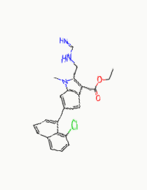 CCOC(=O)c1c(CNC=N)n(C)c2cc(-c3cccc4cccc(Cl)c34)ccc12